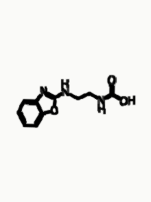 O=C(O)NCCNc1nc2ccccc2o1